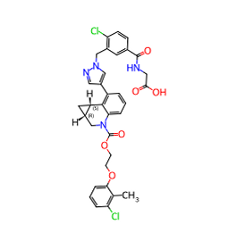 Cc1c(Cl)cccc1OCCOC(=O)N1C[C@@H]2C[C@@H]2c2c(-c3cnn(Cc4cc(C(=O)NCC(=O)O)ccc4Cl)c3)cccc21